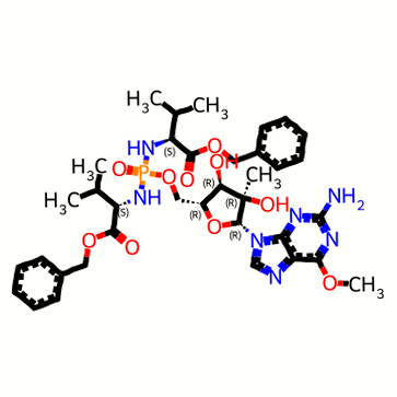 COc1nc(N)nc2c1ncn2[C@@H]1O[C@H](COP(=O)(N[C@H](C(=O)OCc2ccccc2)C(C)C)N[C@H](C(=O)OCc2ccccc2)C(C)C)[C@@H](O)[C@@]1(C)O